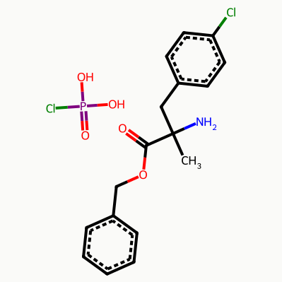 CC(N)(Cc1ccc(Cl)cc1)C(=O)OCc1ccccc1.O=P(O)(O)Cl